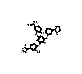 CN1CCN=C1c1cccc(Oc2nc(Oc3cc(C(=N)N)ccc3O)c(F)c(Oc3ccc(-c4nnn[nH]4)cc3Cl)c2F)c1